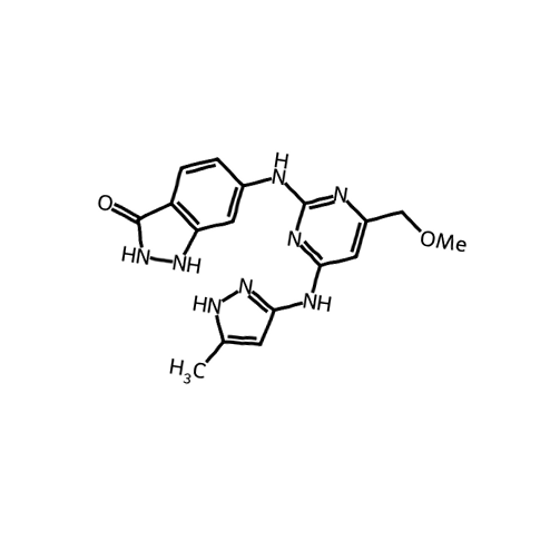 COCc1cc(Nc2cc(C)[nH]n2)nc(Nc2ccc3c(=O)[nH][nH]c3c2)n1